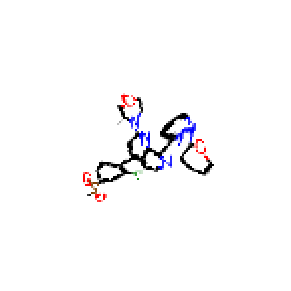 C[C@@H]1COCCN1c1cc(-c2ccc(S(C)(=O)=O)cc2F)c2ccnc(-c3ccnn3C3CCCCO3)c2n1